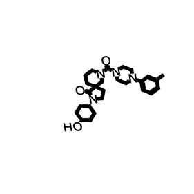 Cc1cccc(N2CCN(C(=O)N3CCCC4(CCN([C@H]5CC[C@H](O)CC5)C4=O)C3)CC2)c1